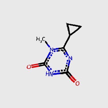 Cn1c(C2CC2)nc(=O)[nH]c1=O